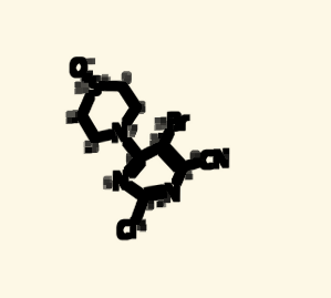 N#Cc1nc(Cl)nc(N2CC[S+]([O-])CC2)c1Br